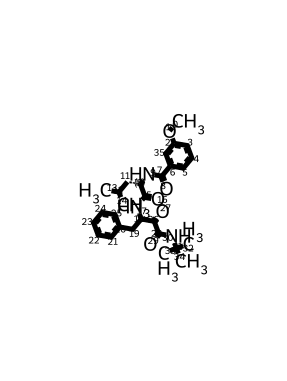 COc1cccc(C(=O)N[C@@H](CC(C)C)C(=O)NC(Cc2ccccc2)C(=O)C(=O)NC(C)(C)C)c1